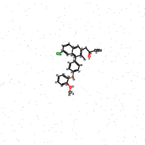 COC(=O)Cc1cc2ccc(Cl)cc2c(-c2ccc(Sc3ccccc3OC(F)(F)F)cc2)c1C